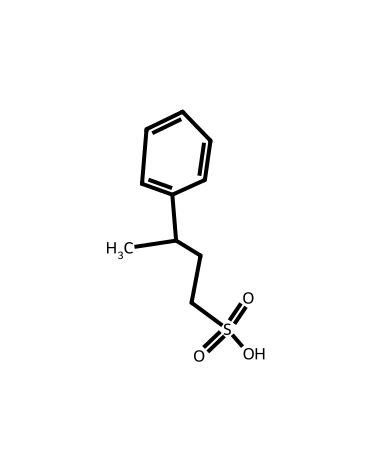 CC(CCS(=O)(=O)O)c1ccccc1